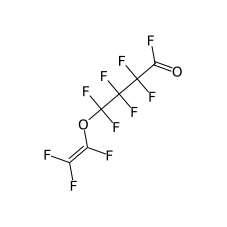 O=C(F)C(F)(F)C(F)(F)C(F)(F)OC(F)=C(F)F